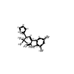 O=C1Nc2c(Br)cc(Br)cc2C1=CC(c1cccs1)C(F)(F)F